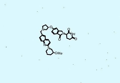 CO[C@H]1CCCN(c2ccc3cc(CN4CC[C@H](Oc5ccc6c(c5)CN(C5CCC(=O)NC5=O)C6=O)C4)ccc3n2)C1